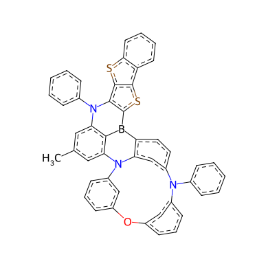 Cc1cc2c3c(c1)N(c1ccccc1)c1c(sc4c1sc1ccccc14)B3c1ccc3cc1N2c1cccc(c1)Oc1cccc(c1)N3c1ccccc1